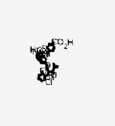 O=C(O)c1ccc2nc(C3(O)[C@@H]4CC5C[C@H]3CC(OCc3c(-c6c(Cl)cccc6Cl)noc3C3CC3)(C5)C4)sc2c1